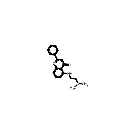 CN(C)CCNc1cccc2oc(-c3ccccc3)cc(=O)c12